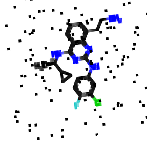 C[C@@H](Nc1nc(Nc2ccc(F)c(Cl)c2)nc2c(CCN)cccc12)C1CC1